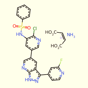 N.O=C(O)/C=C\C(=O)O.O=S(=O)(Nc1cc(-c2cnc3[nH]nc(-c4ccnc(F)c4)c3c2)cnc1Cl)c1ccccc1